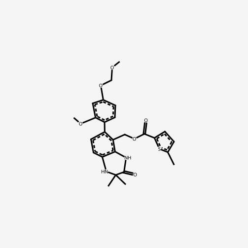 COCOc1ccc(-c2ccc3c(c2COC(=O)c2ccc(C)s2)NC(=O)C(C)(C)N3)c(OC)c1